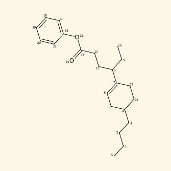 CCCCC1CC=C(C(CC)CCC(=O)Oc2ccccc2)CC1